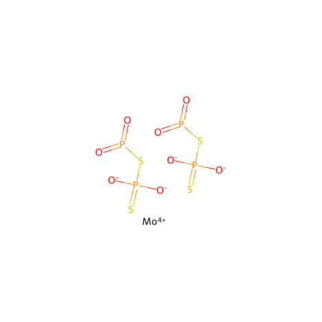 O=P(=O)SP([O-])([O-])=S.O=P(=O)SP([O-])([O-])=S.[Mo+4]